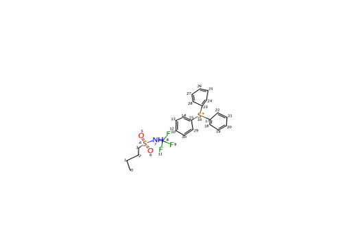 CCCCS(=O)(=O)NC(F)(F)F.c1ccc([S+](c2ccccc2)c2ccccc2)cc1